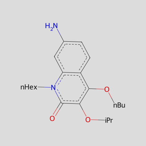 CCCCCCn1c(=O)c(OC(C)C)c(OCCCC)c2ccc(N)cc21